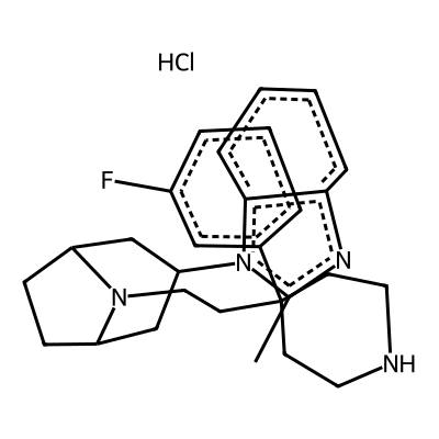 Cc1nc2ccccc2n1C1CC2CCC(C1)N2CCC1(c2cccc(F)c2)CCNCC1.Cl